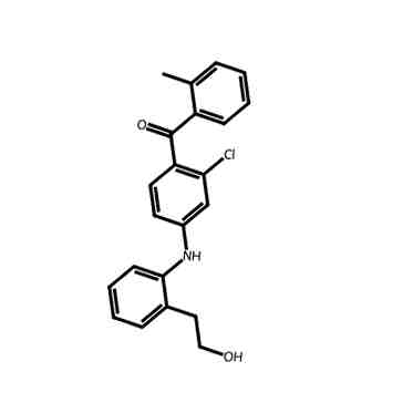 Cc1ccccc1C(=O)c1ccc(Nc2ccccc2CCO)cc1Cl